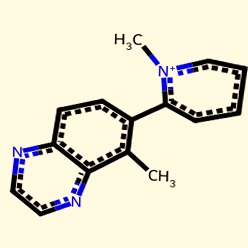 Cc1c(-c2cccc[n+]2C)ccc2nccnc12